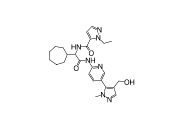 CCn1nccc1C(=O)NC(C(=O)Nc1ccc(-c2c(CO)cnn2C)cn1)C1CCCCCC1